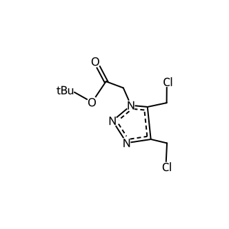 CC(C)(C)OC(=O)Cn1nnc(CCl)c1CCl